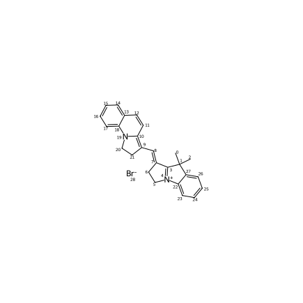 CC1(C)C2=[N+](CCC2=CC2=C3C=Cc4ccccc4N3CC2)c2ccccc21.[Br-]